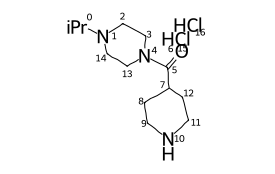 CC(C)N1CCN(C(=O)C2CCNCC2)CC1.Cl.Cl